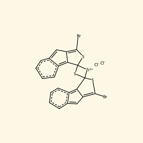 BrC1=C2C=c3ccccc3=C2[C]2(S1)S[C]1(SC(Br)=C3C=c4ccccc4=C31)[Zr+2]2.[Cl-].[Cl-]